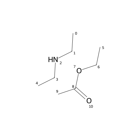 CCNCC.CCOC(C)=O